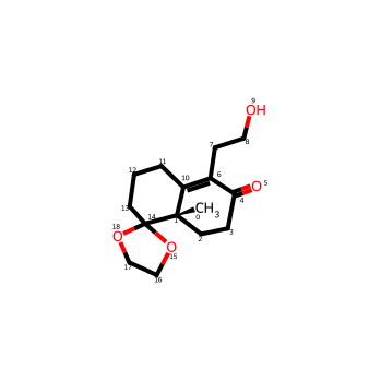 C[C@]12CCC(=O)C(CCO)=C1CCCC21OCCO1